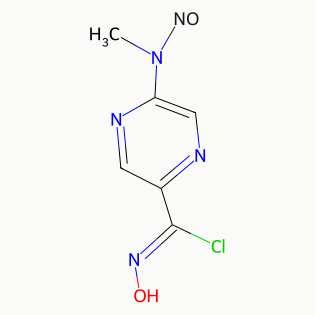 CN(N=O)c1cnc(C(Cl)=NO)cn1